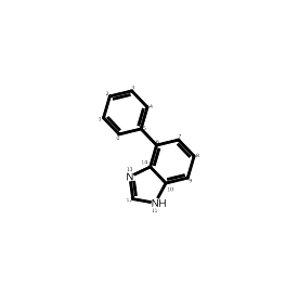 [c]1ccccc1-c1cccc2[nH]cnc12